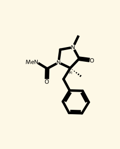 CNC(=O)N1CN(C)C(=O)[C@@]1(C)Cc1ccccc1